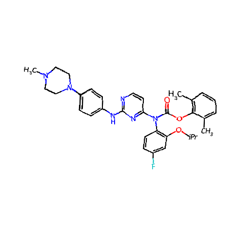 Cc1cccc(C)c1OC(=O)N(c1ccnc(Nc2ccc(N3CCN(C)CC3)cc2)n1)c1ccc(F)cc1OC(C)C